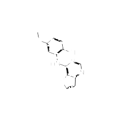 COc1ccc(O)c(Nc2ncnc3ccsc23)c1